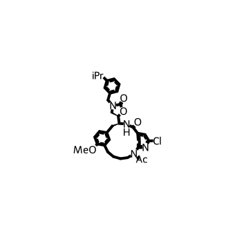 COc1ccc2cc1CCCCN(C(C)=O)c1cc(cc(Cl)n1)C(=O)N[C@H]([C@H]1CN(Cc3cccc(C(C)C)c3)C(=O)O1)C2